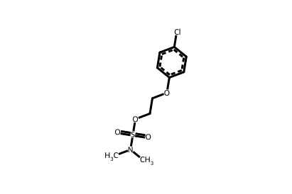 CN(C)S(=O)(=O)OCCOc1ccc(Cl)cc1